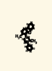 Cc1ccc2c(oc3ccccc32)c1N1C=CN(c2ccccc2)[C@H](C)C1